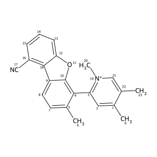 Cc1cc(-c2c(C)ccc3c2oc2cccc(C#N)c23)[n+](C)cc1C